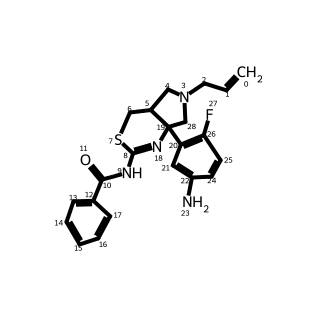 C=CCN1CC2CSC(NC(=O)c3ccccc3)=NC2(c2cc(N)ccc2F)C1